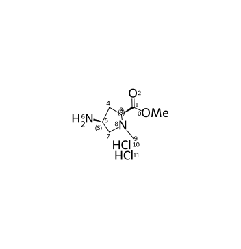 COC(=O)[C@@H]1C[C@H](N)CN1C.Cl.Cl